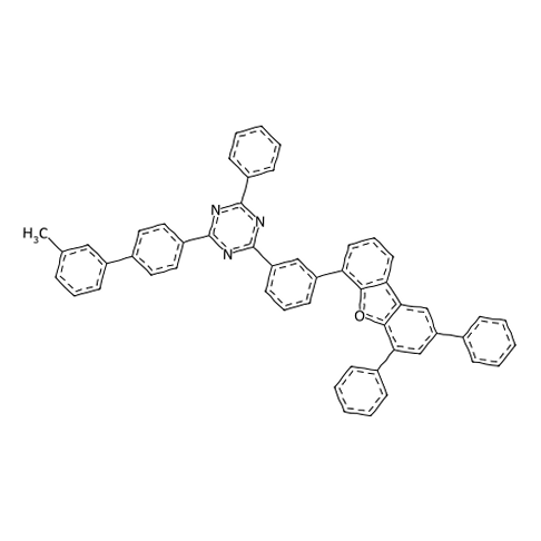 Cc1cccc(-c2ccc(-c3nc(-c4ccccc4)nc(-c4cccc(-c5cccc6c5oc5c(-c7ccccc7)cc(-c7ccccc7)cc56)c4)n3)cc2)c1